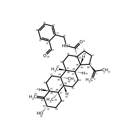 C=C(C)[C@@H]1CC[C@]2(C(=O)NCc3ccccc3C=O)CC[C@]3(C)[C@H](CC[C@@H]4[C@@]5(C)CC[C@H](O)C(=C)[C@@H]5CC[C@]43C)[C@@H]12